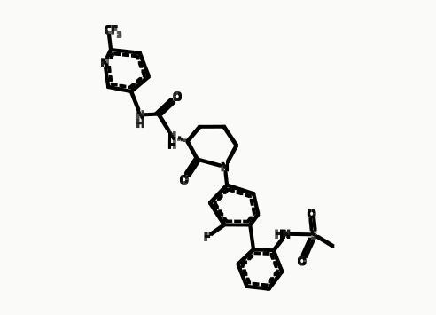 CS(=O)(=O)Nc1ccccc1-c1ccc(N2CCC[C@@H](NC(=O)Nc3ccc(C(F)(F)F)nc3)C2=O)cc1F